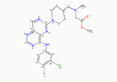 COC(=O)CN(C)CC1CCN(c2ncc3ncnc(Nc4ccc(F)c(Cl)c4)c3n2)CC1